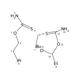 CC(C)CCOC(N)=S.CCC(C)C.CCC(Cl)OC(N)=S